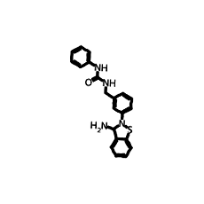 NC1c2ccccc2SN1c1cccc(CNC(=O)Nc2ccccc2)c1